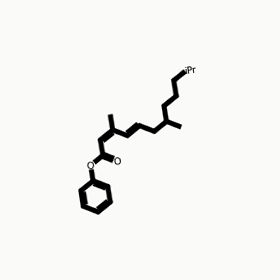 CC(C=CCC(C)CCCC(C)C)=CC(=O)Oc1ccccc1